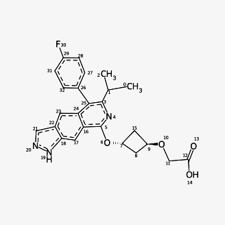 CC(C)c1nc(O[C@H]2C[C@H](OCC(=O)O)C2)c2cc3[nH]ncc3cc2c1-c1ccc(F)cc1